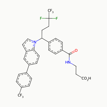 O=C(O)CCNC(=O)c1ccc(C(CCC(F)(F)C(F)(F)F)n2ccc3cc(-c4ccc(C(F)(F)F)cc4)ccc32)cc1